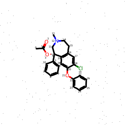 CC(=O)O[C@]1(c2ccccc2)CN(C)CCc2cc(Cl)c(Oc3ccccc3)cc21